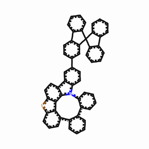 c1ccc2c(c1)-c1ccccc1C21c2ccccc2-c2ccc(-c3ccc4c(c3)c3ccc5sc6cccc7c8ccccc8c8ccccc8n4c3c5c67)cc21